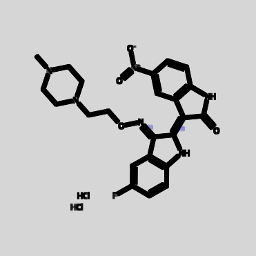 CN1CCN(CCO/N=C2/C(=C3/C(=O)Nc4ccc([N+](=O)[O-])cc43)Nc3ccc(F)cc32)CC1.Cl.Cl